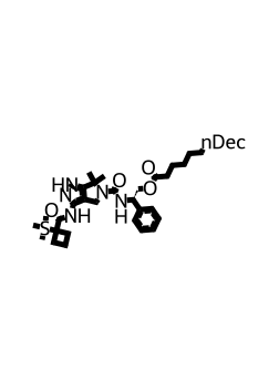 CCCCCCCCCCCCCCCC(=O)OC[C@@H](NC(=O)N1Cc2c(NC(=O)C3(S(C)(C)C)CCC3)n[nH]c2C1(C)C)c1ccccc1